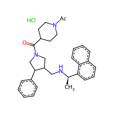 CC(=O)N1CCC(C(=O)N2CC(CN[C@H](C)c3cccc4ccccc34)C(c3ccccc3)C2)CC1.Cl